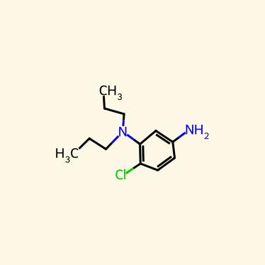 CCCN(CCC)c1cc(N)ccc1Cl